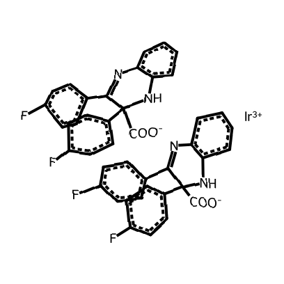 O=C([O-])C1(c2ccc(F)cc2)Nc2ccccc2N=C1c1ccc(F)cc1.O=C([O-])C1(c2ccc(F)cc2)Nc2ccccc2N=C1c1ccc(F)cc1.[Ir+3]